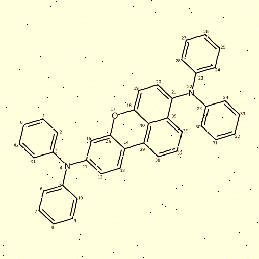 c1ccc(N(c2ccccc2)c2ccc3c(c2)Oc2ccc(N(c4ccccc4)c4ccccc4)c4cccc-3c24)cc1